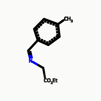 CCOC(=O)C/N=C\c1ccc(C)cc1